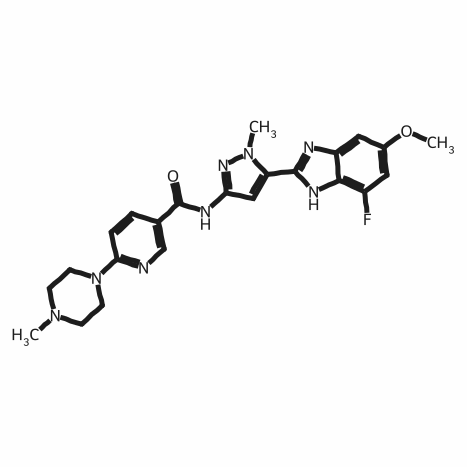 COc1cc(F)c2[nH]c(-c3cc(NC(=O)c4ccc(N5CCN(C)CC5)nc4)nn3C)nc2c1